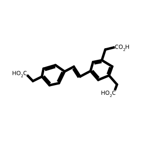 O=C(O)Cc1ccc(C=Cc2cc(CC(=O)O)cc(CC(=O)O)c2)cc1